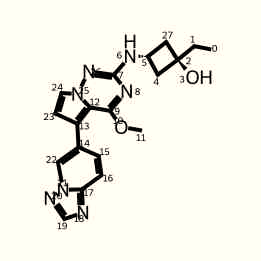 CC[C@]1(O)C[C@H](Nc2nc(OC)c3c(-c4ccc5ncnn5c4)ccn3n2)C1